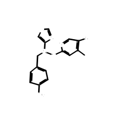 COc1ccc(CN(Sc2cc(C)c(N)cn2)c2cscn2)cc1